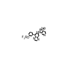 CS(=O)(=O)c1ccncc1Nc1cc(-c2cccc(OC(F)(F)F)c2)c2nccnc2c1